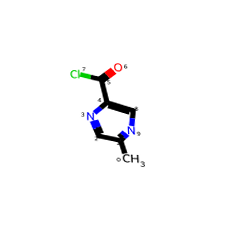 Cc1cnc(C(=O)Cl)cn1